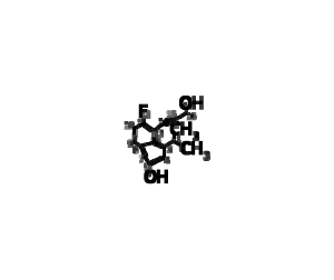 CC(C)c1cc(O)cc2ccc(F)c(C#CCO)c12